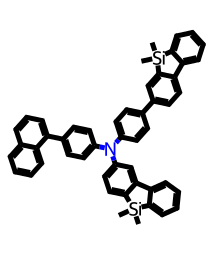 C[Si]1(C)c2ccccc2-c2cc(N(c3ccc(-c4ccc5c(c4)[Si](C)(C)c4ccccc4-5)cc3)c3ccc(-c4cccc5ccccc45)cc3)ccc21